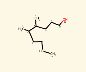 CBCCC(C)C(C)CCCO